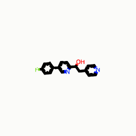 OC(Cc1ccncc1)c1ccc(-c2ccc(F)cc2)cn1